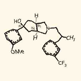 COc1cccc([C@]2(O)C[C@H]3CN(CC(C)c4cccc(C(F)(F)F)c4)C[C@H]3C2)c1